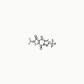 CC(C)N1Cc2c([nH]c3cc(C(F)(F)F)nn3c2=O)C1=O